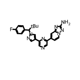 CC(C)(C)C(c1ccc(F)cc1)n1cc(-c2cncc(-c3ccn4nc(N)nc4c3)n2)cn1